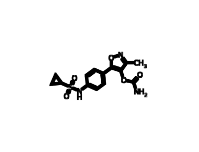 Cc1noc(-c2ccc(NS(=O)(=O)C3CC3)cc2)c1OC(N)=O